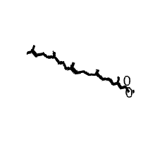 COC(=O)/C=C(C)/C=C/C=C(\C)CC/C=C(\C)CC/C=C(\C)CCC=C(C)C